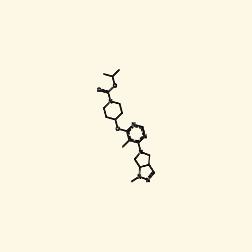 Cc1c(OC2CCN(C(=O)OC(C)C)CC2)ncnc1N1CC2C=NN(C)C2C1